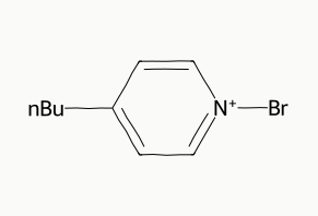 CCCCc1cc[n+](Br)cc1